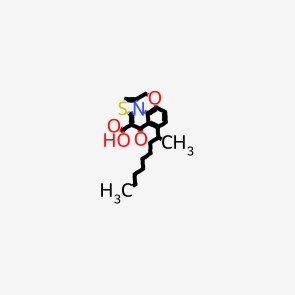 CCCCCCCC(C)c1ccc2c3c1c(=O)c(C(=O)O)c1scc(n13)CO2